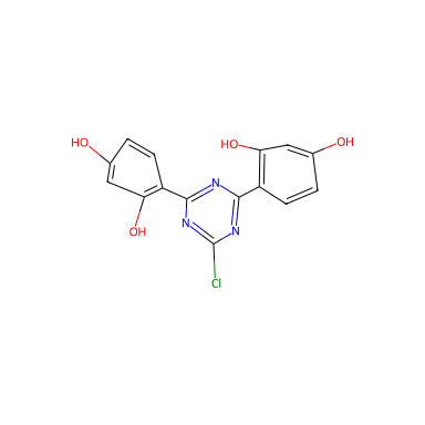 Oc1ccc(-c2nc(Cl)nc(-c3ccc(O)cc3O)n2)c(O)c1